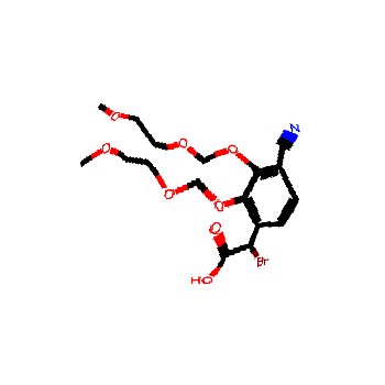 COCCOCOc1c(C#N)ccc(C(Br)C(=O)O)c1OCOCCOC